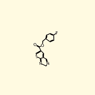 O=C(OCc1ccc(F)cc1)C1=CSC2=NCN=CC2=C1